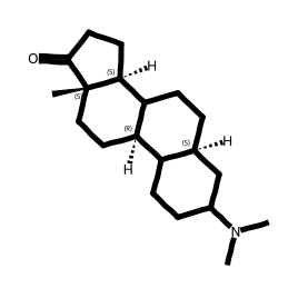 CN(C)C1CCC2[C@@H](CCC3[C@@H]2CC[C@]2(C)C(=O)CC[C@@H]32)C1